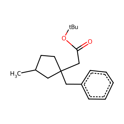 CC1CCC(CC(=O)OC(C)(C)C)(Cc2ccccc2)C1